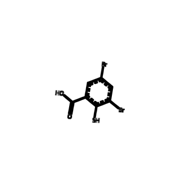 O=C(O)c1cc(Br)cc(Br)c1S